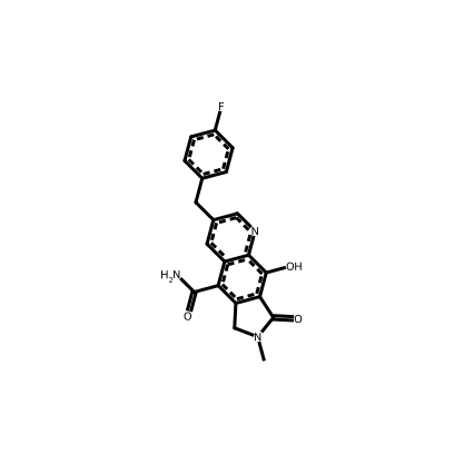 CN1Cc2c(c(O)c3ncc(Cc4ccc(F)cc4)cc3c2C(N)=O)C1=O